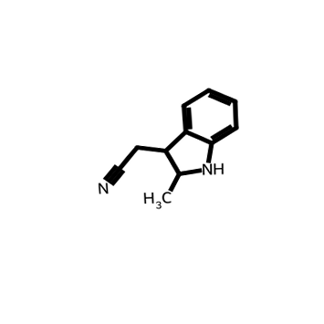 CC1Nc2ccccc2C1CC#N